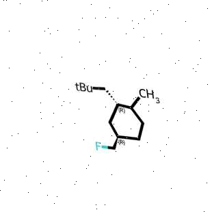 CC1CC[C@@H](CF)C[C@@H]1CC(C)(C)C